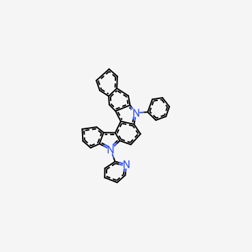 c1ccc(-n2c3cc4ccccc4cc3c3c4c5ccccc5n(-c5ccccn5)c4ccc32)cc1